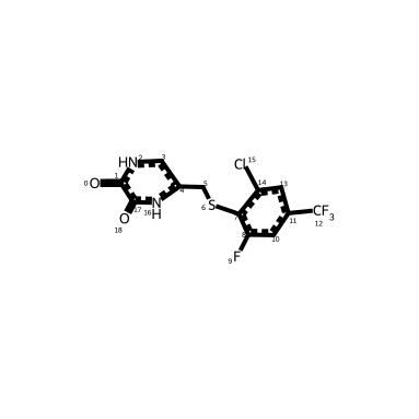 O=c1[nH]cc(CSc2c(F)cc(C(F)(F)F)cc2Cl)[nH]c1=O